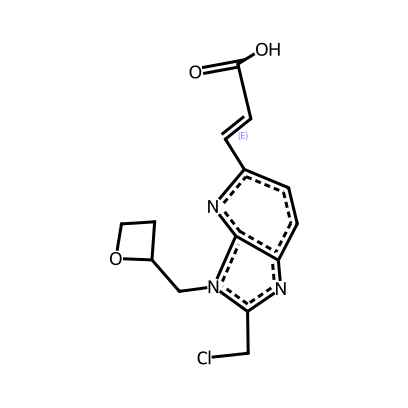 O=C(O)/C=C/c1ccc2nc(CCl)n(CC3CCO3)c2n1